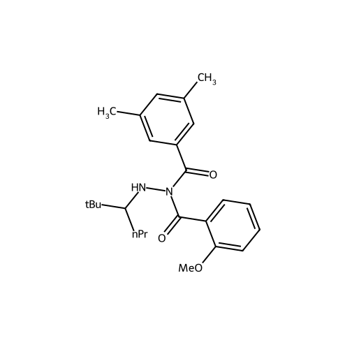 CCCC(NN(C(=O)c1cc(C)cc(C)c1)C(=O)c1ccccc1OC)C(C)(C)C